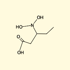 CCC(CC(=O)O)N(O)O